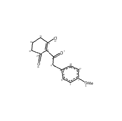 COc1ccc(CC(=O)C2=C(Cl)CCCC2=O)cc1